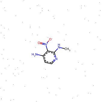 CNc1nccc(N)c1[N+](=O)[O-]